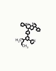 C=C/C(=C\C=C/C)c1cc(-c2ccc(C3=C4C=Cc5c(-c6ccccc6)ccnc5C4CNC(c4ccccc4)=C3)cc2)cc(-c2cccnc2)c1